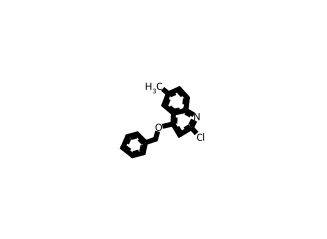 Cc1ccc2nc(Cl)cc(OCc3ccccc3)c2c1